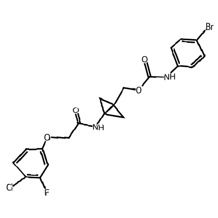 O=C(COc1ccc(Cl)c(F)c1)NC12CC1(COC(=O)Nc1ccc(Br)cc1)C2